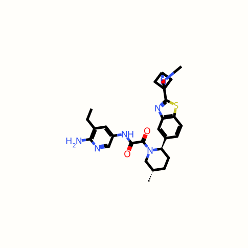 CCc1cc(NC(=O)C(=O)N2C[C@@H](C)CC[C@@H]2c2ccc3sc(C45CC(C4)N(C)C5)nc3c2)cnc1N